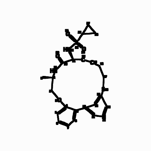 C[C@@H]1COc2ccccc2-c2cncc(c2)SCCCC[C@H](NS(=O)(=O)C2CC2)C(=O)N1